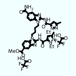 CCn1nc(C)cc1C(=O)Nc1nc2cc(C(N)=O)ccc2n1CCCCn1c(NC(=O)c2cc(C)nn2CC)nc2cc(C(=O)OC)ccc21.O=C(O)C(F)(F)F.O=C(O)C(F)(F)F